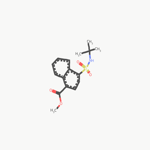 COC(=O)c1ccc(S(=O)(=O)NC(C)(C)C)c2ccccc12